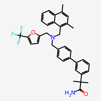 Cc1cc(C)c2ccccc2c1CN(Cc1ccc(-c2cccc(C(C)(C)C(N)=O)c2)cc1)Cc1ccc(C(F)(F)F)o1